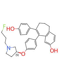 Oc1ccc(C2=C(c3ccc(O[C@H]4CCN(CCCF)C4)cc3)c3cc(O)ccc3CCC2)cc1